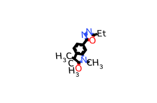 CCc1nnc(-c2ccc3c(c2)N(C)C(=O)C3(C)C)o1